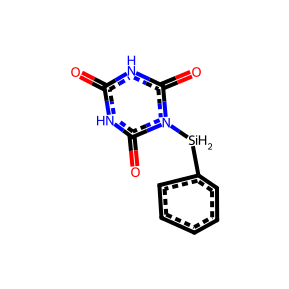 O=c1[nH]c(=O)n([SiH2]c2ccccc2)c(=O)[nH]1